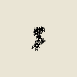 Cc1cnc(Nc2ccnn2C)nc1-n1cc2c(n1)C(=O)N(Cc1ccc(F)c(F)c1)C1(CC1)C2